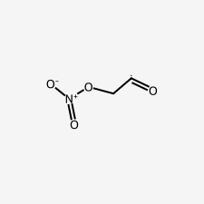 O=[C]CO[N+](=O)[O-]